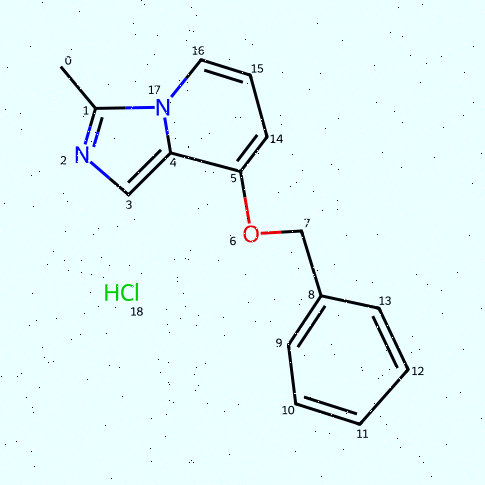 Cc1ncc2c(OCc3ccccc3)cccn12.Cl